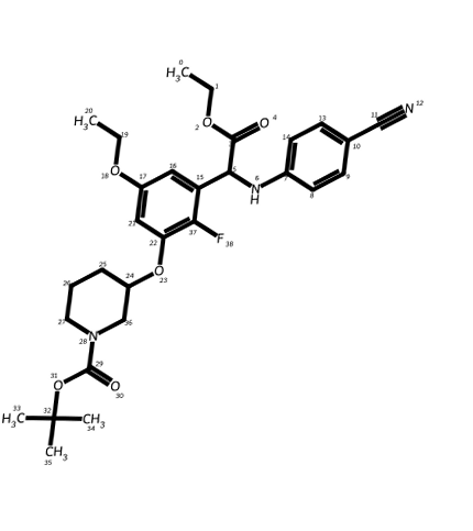 CCOC(=O)C(Nc1ccc(C#N)cc1)c1cc(OCC)cc(OC2CCCN(C(=O)OC(C)(C)C)C2)c1F